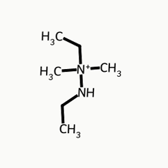 CCN[N+](C)(C)CC